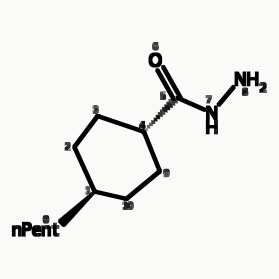 CCCCC[C@H]1CC[C@H](C(=O)NN)CC1